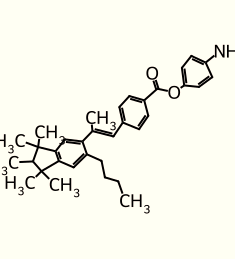 CCCCc1cc2c(cc1C(C)=Cc1ccc(C(=O)Oc3ccc(N)cc3)cc1)C(C)(C)C(C)C2(C)C